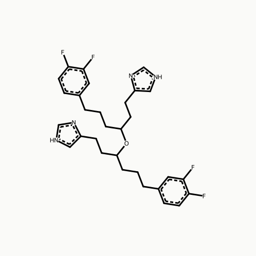 Fc1ccc(CCCC(CCc2c[nH]cn2)OC(CCCc2ccc(F)c(F)c2)CCc2c[nH]cn2)cc1F